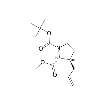 C=CC[C@@H]1CCN(C(=O)OC(C)(C)C)[C@H]1C(=O)OC